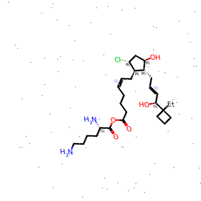 CCC1([C@@H](O)/C=C/C[C@@H]2[C@@H](C/C=C\CCCC(=O)OC(=O)[C@@H](N)CCCCN)[C@H](Cl)C[C@H]2O)CCC1